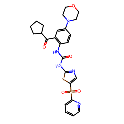 O=C(Nc1ncc(S(=O)(=O)c2ccccn2)s1)Nc1ccc(N2CCOCC2)cc1C(=O)C1CCCC1